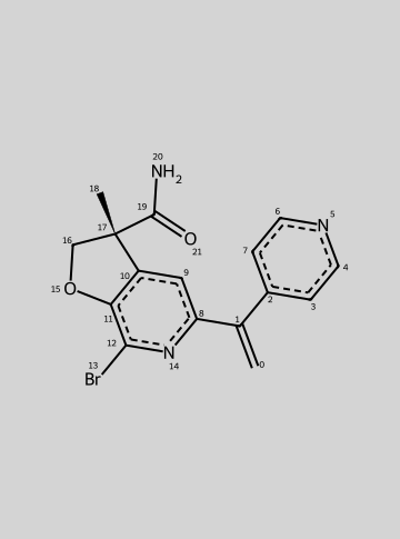 C=C(c1ccncc1)c1cc2c(c(Br)n1)OC[C@]2(C)C(N)=O